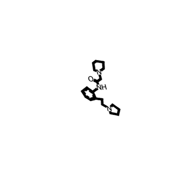 O=C(CN1CCCCC1)Nc1ccccc1CCN1CCCC1